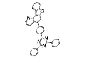 c1ccc(-c2nc(-c3ccccc3)nc(-c3ccc(-c4cc5oc6ccccc6c5c5ncccc45)cc3)n2)cc1